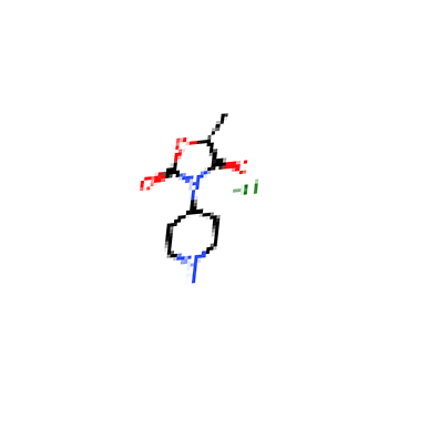 C[C@@H]1OC(=O)N(C2CCNCC2)C1=O.Cl